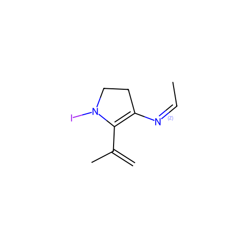 C=C(C)C1=C(/N=C\C)CCN1I